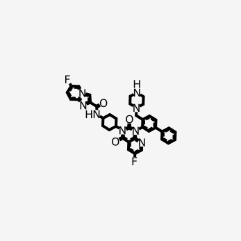 O=C(NC1CCC(n2c(=O)c3cc(F)cnc3n(-c3cc(-c4ccccc4)ccc3CN3CCNCC3)c2=O)CC1)c1cn2cc(F)ccc2n1